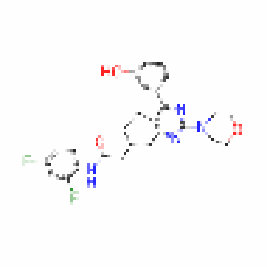 O=C(CC1=Cc2nc(N3CCOCC3)nc(-c3cccc(O)c3)c2CC1)Nc1ccc(F)cc1F